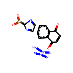 O=C1C=CC(=O)c2ccccc21.O=S(=O)=C1N=CC=N1.[N-]=[N+]=N.[N-]=[N+]=[N-]